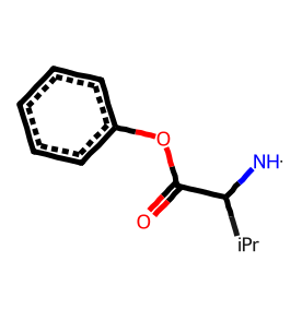 CC(C)C([NH])C(=O)Oc1ccccc1